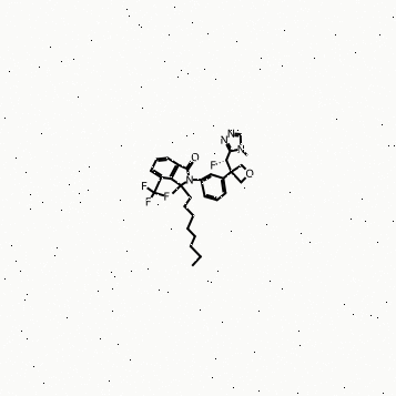 CCCCCCCCC1(C)c2c(cccc2C(F)(F)F)C(=O)N1c1cccc(C2([C@H](F)c3nncn3C)COC2)c1